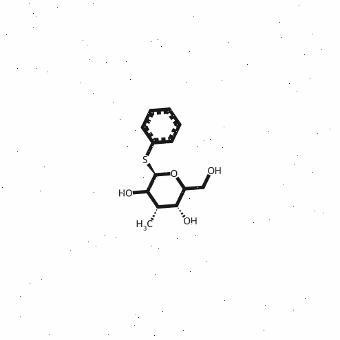 C[C@@H]1C(O)[C@@H](Sc2ccccc2)OC(CO)[C@@H]1O